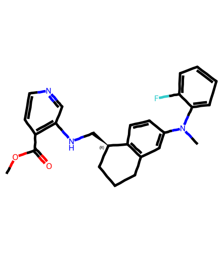 COC(=O)c1ccncc1NC[C@@H]1CCCc2cc(N(C)c3ccccc3F)ccc21